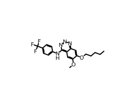 CCCCCOc1cc2nnnc(Nc3ccc(C(F)(F)F)cc3)c2cc1OC